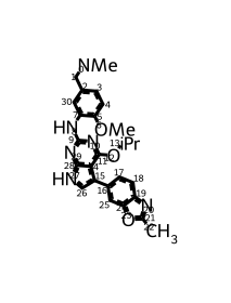 CNCc1ccc(OC)c(Nc2nc(OC(C)C)c3c(-c4ccc5nc(C)oc5c4)c[nH]c3n2)c1